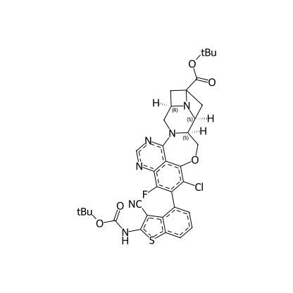 CC(C)(C)OC(=O)Nc1sc2cccc(-c3c(Cl)c4c5c(ncnc5c3F)N3C[C@H]5CC6(C(=O)OC(C)(C)C)C[C@@H]([C@H]3CO4)N56)c2c1C#N